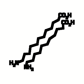 NCCCCCCCCCCC(=O)O.NCCCCCCCCCCCC(=O)O